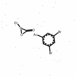 CC(=O)c1cc(Br)cc(Br)c1.CCN1OC1=O